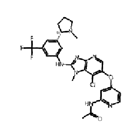 CC(=O)Nc1cc(Oc2cnc3nc(Nc4cc([C@@H]5CCCN5C)cc(C(F)(F)F)c4)n(C)c3c2Cl)ccn1